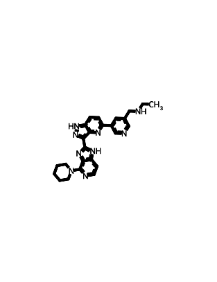 CCNCc1cncc(-c2ccc3[nH]nc(-c4nc5c(N6CCCCC6)nccc5[nH]4)c3n2)c1